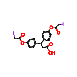 O=C(O)CC(c1ccc(OC(=O)CI)cc1)c1ccc(OC(=O)CI)cc1